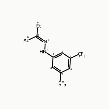 CCC(=NNc1cc(C(F)(F)F)cc(C(F)(F)F)c1)C(C)=O